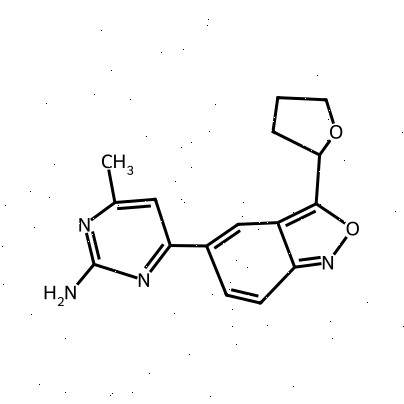 Cc1cc(-c2ccc3noc(C4CCCO4)c3c2)nc(N)n1